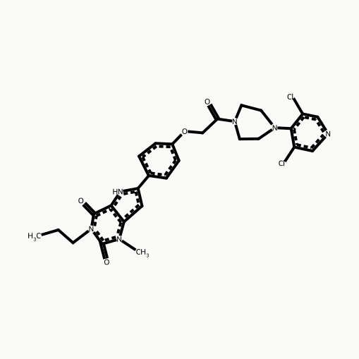 CCCn1c(=O)c2[nH]c(-c3ccc(OCC(=O)N4CCN(c5c(Cl)cncc5Cl)CC4)cc3)cc2n(C)c1=O